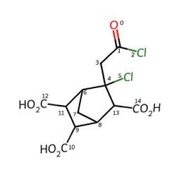 O=C(Cl)CC1(Cl)C2CC(C(C(=O)O)C2C(=O)O)C1C(=O)O